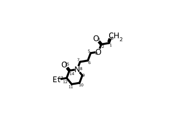 C=CC(=O)OCCCN1CCCC(CC)C1=O